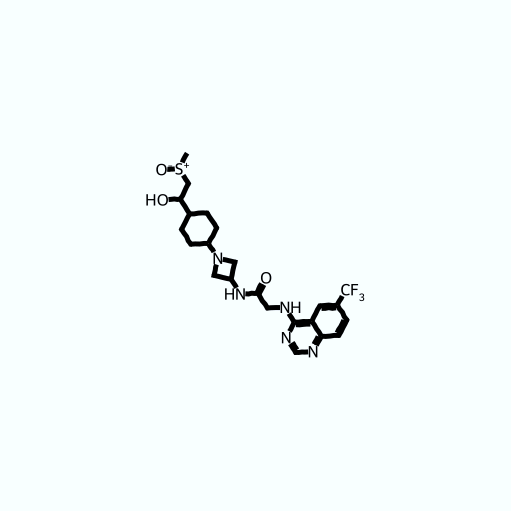 C[S+]([O-])CC(O)C1CCC(N2CC(NC(=O)CNc3ncnc4ccc(C(F)(F)F)cc34)C2)CC1